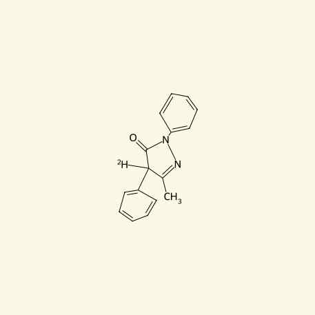 [2H]C1(c2ccccc2)C(=O)N(c2ccccc2)N=C1C